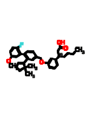 CCCC[C@H](CC(=O)O)c1cccc(OCc2ccc(-c3cc(OC)ccc3F)c(C3=CCCC3(C)C)c2)c1